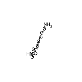 NCCOCCOCCOCCOCCOCC[S+]([O-])c1cccc2c1CNC2=O